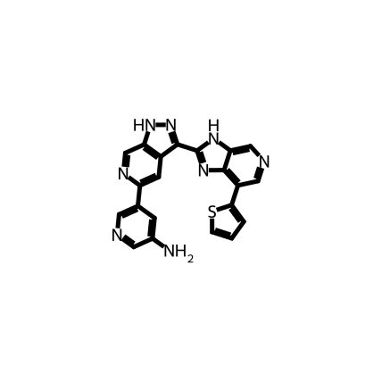 Nc1cncc(-c2cc3c(-c4nc5c(-c6cccs6)cncc5[nH]4)n[nH]c3cn2)c1